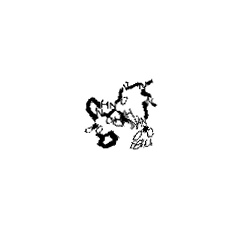 CN(CCNC(=O)OC(C)(C)C)CCN(C)CCN(C)CC(=O)N[C@@H](CC(N)=O)C(O)N1CCC[C@H]1C(=O)OCc1ccccc1